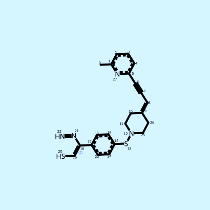 Cc1cccc(C#CC=C2CCN(Sc3ccc(/C(=C/S)N=N)cc3)CC2)n1